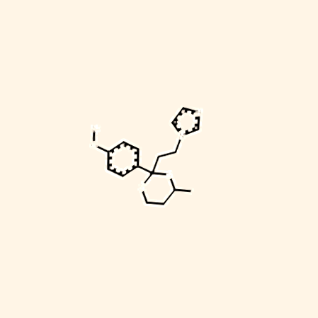 CCOc1ccc(C2(CCn3ccnc3)SCCC(C)S2)cc1